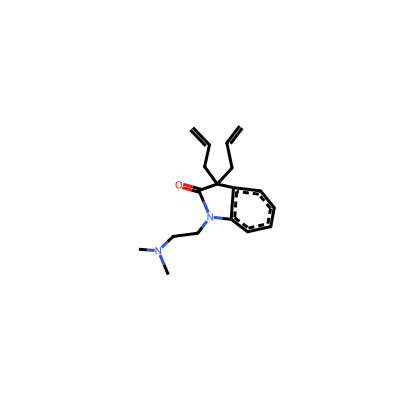 C=CCC1(CC=C)C(=O)N(CCN(C)C)c2ccccc21